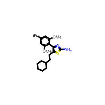 COc1cc(C(C)C)cc(OC)c1-c1nc(N)sc1CCC1CCCCC1